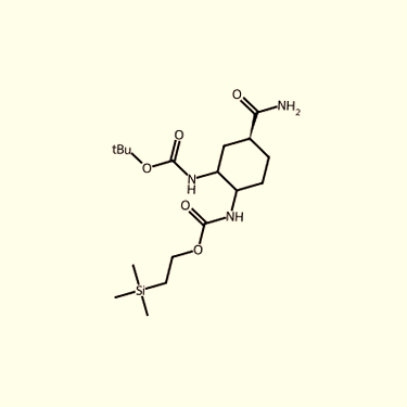 CC(C)(C)OC(=O)NC1C[C@@H](C(N)=O)CCC1NC(=O)OCC[Si](C)(C)C